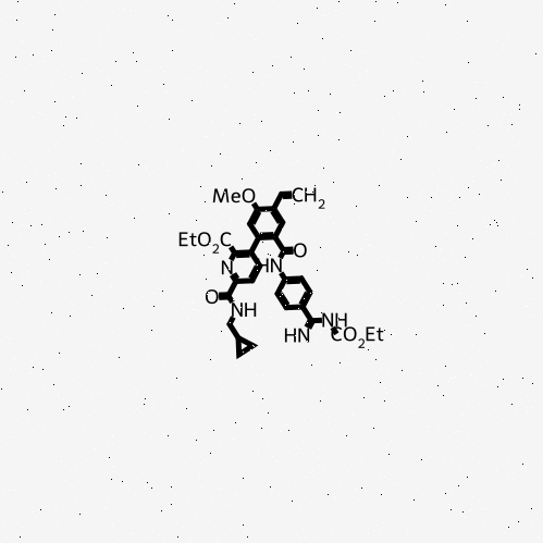 C=Cc1cc(C(=O)Nc2ccc(C(=N)NC(=O)OCC)cc2)c(-c2ccc(C(=O)NCC3CC3)nc2C(=O)OCC)cc1OC